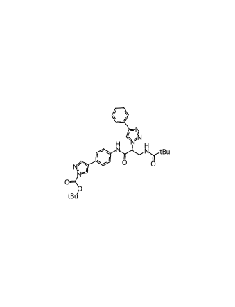 CC(C)(C)OC(=O)n1cc(-c2ccc(NC(=O)C(CNC(=O)C(C)(C)C)n3cc(-c4ccccc4)nn3)cc2)cn1